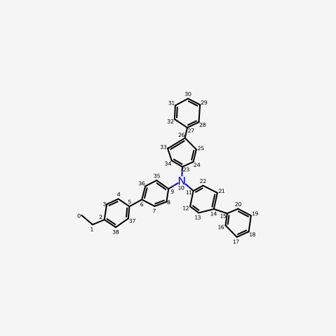 CCc1ccc(-c2ccc(N(c3ccc(-c4ccccc4)cc3)c3ccc(-c4ccccc4)cc3)cc2)cc1